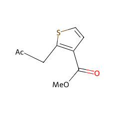 COC(=O)c1ccsc1CC(C)=O